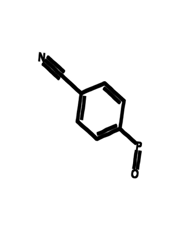 N#Cc1ccc(P=O)cc1